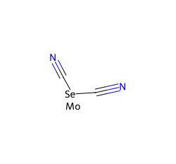 N#C[Se]C#N.[Mo]